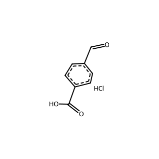 Cl.O=Cc1ccc(C(=O)O)cc1